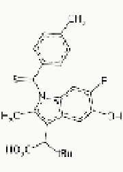 Cc1ccc(C(=S)n2c(C)c(C(C(=O)O)C(C)(C)C)c3cc(O)c(F)cc32)cc1